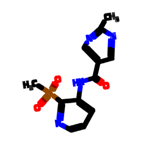 Cc1ncc(C(=O)Nc2cccnc2S(C)(=O)=O)cn1